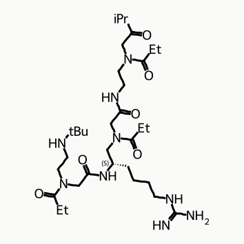 CCC(=O)N(CCNC(C)(C)C)CC(=O)N[C@@H](CCCCNC(=N)N)CN(CC(=O)NCCN(CC(=O)C(C)C)C(=O)CC)C(=O)CC